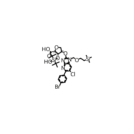 CC(C)(C)[Si](O)(O[C@@H]1[C@@H](C(=O)O)OC[C@H]1Oc1nc2nc(-c3ccc(Br)cc3)c(Cl)cc2n1COCC[Si](C)(C)C)C(C)(C)C